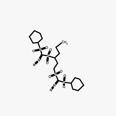 CCCC(CCS(=O)(=O)C(=[N+]=[N-])S(=O)(=O)C1CCCCC1)S(=O)(=O)C(=[N+]=[N-])S(=O)(=O)C1CCCCC1